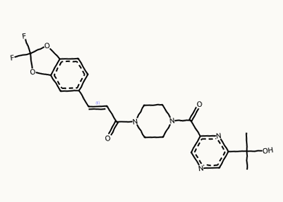 CC(C)(O)c1cncc(C(=O)N2CCN(C(=O)/C=C/c3ccc4c(c3)OC(F)(F)O4)CC2)n1